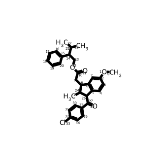 COc1ccc2c(c1)C(CC(=O)OCC(c1ccccc1)C(C)C)C(C)C2C(=O)c1ccc(Cl)cc1